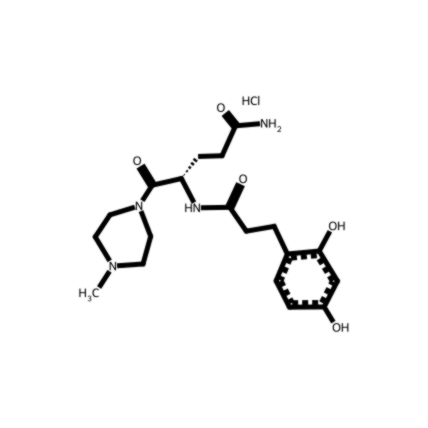 CN1CCN(C(=O)[C@H](CCC(N)=O)NC(=O)CCc2ccc(O)cc2O)CC1.Cl